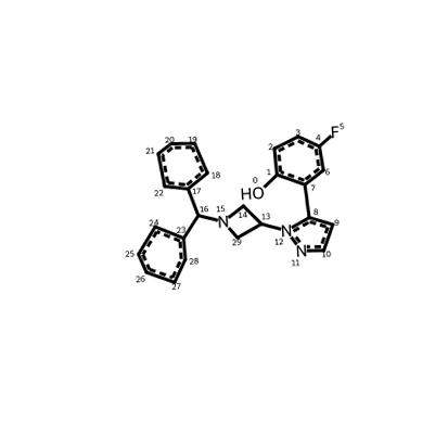 Oc1ccc(F)cc1-c1ccnn1C1CN(C(c2ccccc2)c2ccccc2)C1